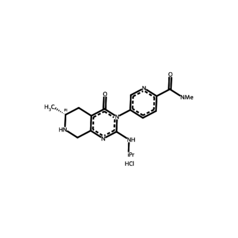 CNC(=O)c1ccc(-n2c(NC(C)C)nc3c(c2=O)C[C@@H](C)NC3)cn1.Cl